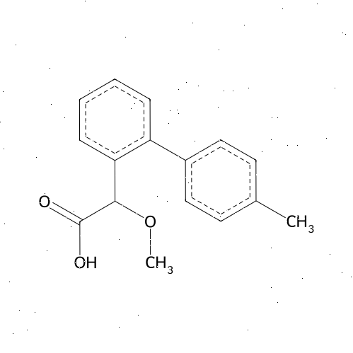 COC(C(=O)O)c1ccccc1-c1ccc(C)cc1